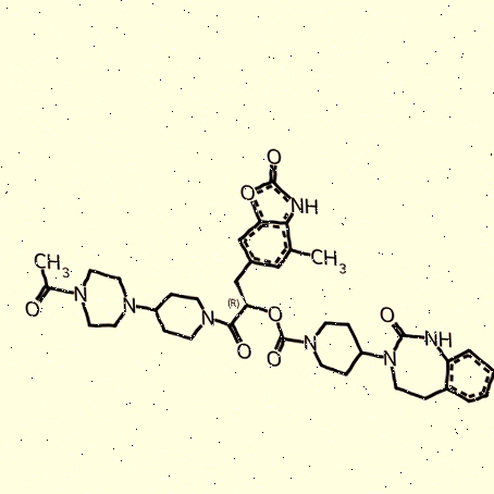 CC(=O)N1CCN(C2CCN(C(=O)[C@@H](Cc3cc(C)c4[nH]c(=O)oc4c3)OC(=O)N3CCC(N4CCc5ccccc5NC4=O)CC3)CC2)CC1